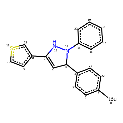 CC(C)(C)c1ccc(C2C=C(c3ccsc3)NN2c2ccccc2)cc1